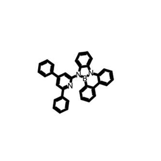 c1ccc(-c2cc(-c3ccccc3)nc(N3B4c5ccccc5-c5ccccc5N4c4ccccc43)c2)cc1